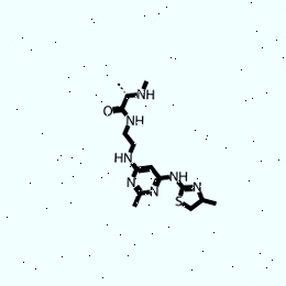 CN[C@@H](C)C(=O)NCCNc1cc(NC2=NC(C)CS2)nc(C)n1